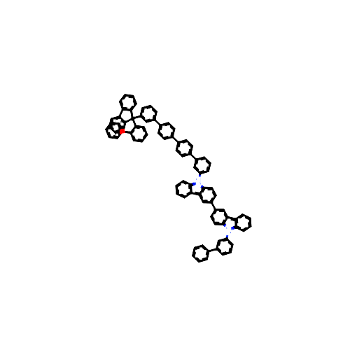 c1ccc(-c2cccc(-n3c4ccccc4c4cc(-c5ccc6c(c5)c5ccccc5n6-c5cccc(-c6ccc(-c7ccc(-c8cccc(C9(c%10ccccc%10-c%10ccccc%10)c%10ccccc%10-c%10ccccc%109)c8)cc7)cc6)c5)ccc43)c2)cc1